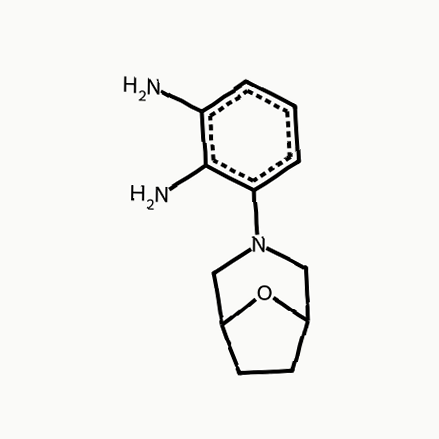 Nc1cccc(N2CC3CCC(C2)O3)c1N